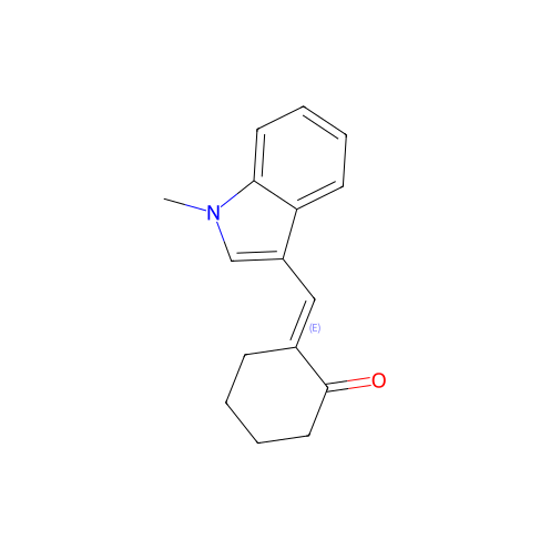 Cn1cc(/C=C2\CCCCC2=O)c2ccccc21